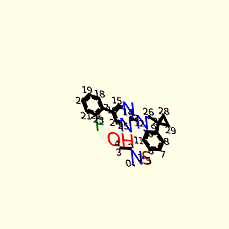 CN(CCO)Sc1ccc2c(c1)N(c1ncc(-c3ccccc3F)cn1)CC21CC1